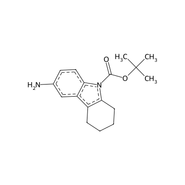 CC(C)(C)OC(=O)n1c2c(c3cc(N)ccc31)CCCC2